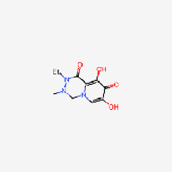 CCN1C(=O)c2c(O)c(=O)c(O)cn2CN1C